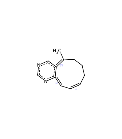 C\C1=c2/cncn/c2=C/C=C\CCC1